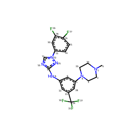 CN1CCN(c2cc(Nc3ncn(-c4ccc(F)c(F)c4)n3)cc(C(F)(F)F)c2)CC1